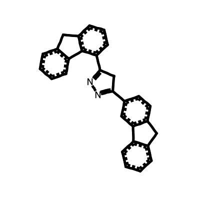 c1ccc2c(c1)Cc1ccc(C3=NN=C(c4cccc5c4-c4ccccc4C5)C3)cc1-2